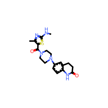 CNc1nc(C)c(C(=O)N2CCN(c3ccc4c(c3)CCC(=O)N4)CC2)s1